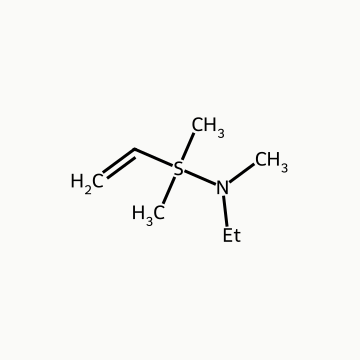 C=CS(C)(C)N(C)CC